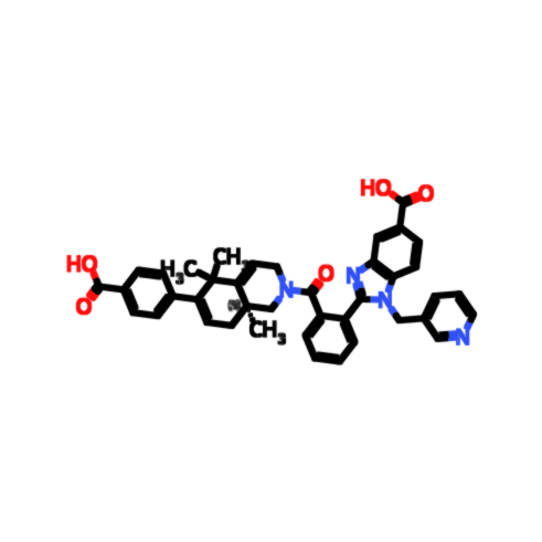 CC1(C)C(c2ccc(C(=O)O)cc2)=CC[C@]2(C)CN(C(=O)c3ccccc3-c3nc4cc(C(=O)O)ccc4n3Cc3cccnc3)CC=C12